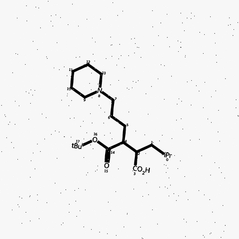 CC(C)CC(C(=O)O)C(CCCN1CCCCC1)C(=O)OC(C)(C)C